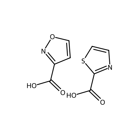 O=C(O)c1ccon1.O=C(O)c1nccs1